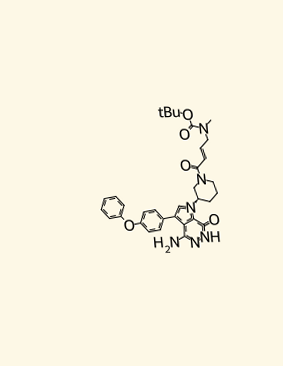 CN(CC=CC(=O)N1CCC[C@@H](n2cc(-c3ccc(Oc4ccccc4)cc3)c3c(N)n[nH]c(=O)c32)C1)C(=O)OC(C)(C)C